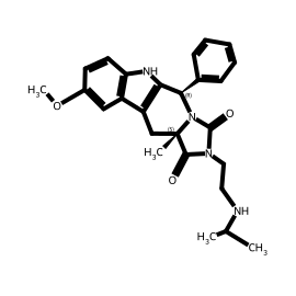 COc1ccc2[nH]c3c(c2c1)C[C@@]1(C)C(=O)N(CCNC(C)C)C(=O)N1[C@@H]3c1ccccc1